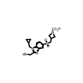 CC(C)(C)Cc1nc2cc(S(=O)(=O)CC3CN(C(=O)O)C3)ccc2n1CC1CC1